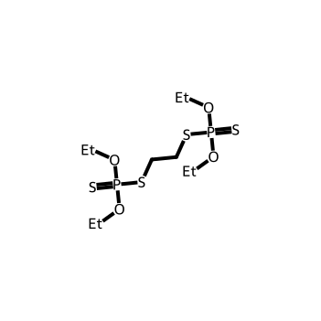 CCOP(=S)(OCC)SCCSP(=S)(OCC)OCC